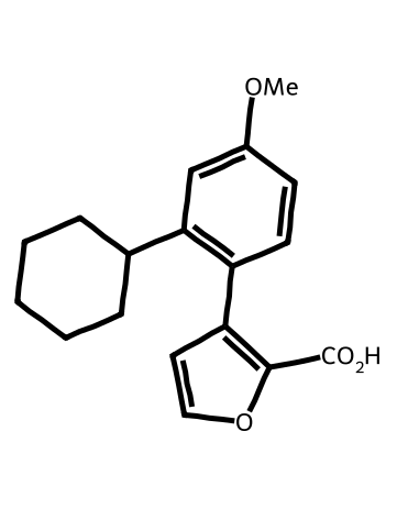 COc1ccc(-c2ccoc2C(=O)O)c(C2CCCCC2)c1